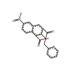 O=C1NC(=O)c2c(CCc3ccccn3)c1cc1cc([N+](=O)[O-])ccc21